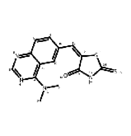 CN(C)c1ncnc2ccc(C=C3SC(=S)NC3=O)cc12